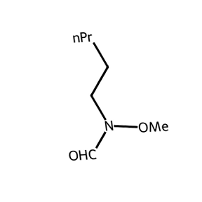 CCCCCN(C=O)OC